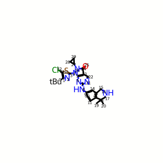 CC(C)(C)c1nc(-n2c3nc(Nc4ccc5c(c4)CNCC5(C)C)ncc3c(=O)n2C2CC2)sc1Cl